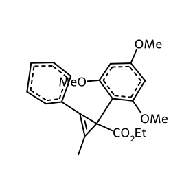 CCOC(=O)C1(c2c(OC)cc(OC)cc2OC)C(C)=C1c1ccccc1